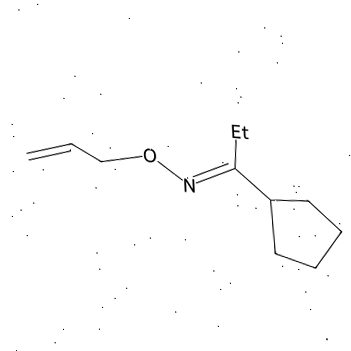 C=CCON=C(CC)C1CCCC1